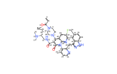 C=CC(=O)N1CCN(c2c(C(=O)NCCN(C)C)c(=O)n(-c3c(C)ccnc3C(C)C)c3nc(-c4c(C)ccc5[nH]ncc45)c(F)cc23)C[C@@H]1CC#N